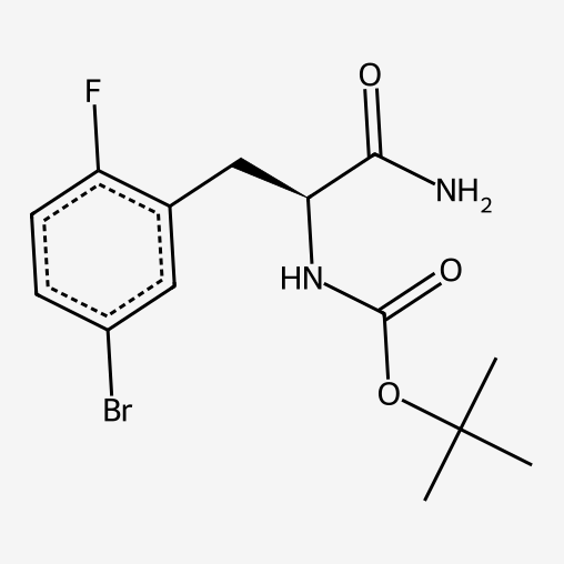 CC(C)(C)OC(=O)N[C@@H](Cc1cc(Br)ccc1F)C(N)=O